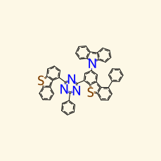 c1ccc(-c2nc(-c3cc(-n4c5ccccc5c5ccccc54)cc4c3sc3cccc(-c5ccccc5)c34)nc(-c3cccc4sc5ccccc5c34)n2)cc1